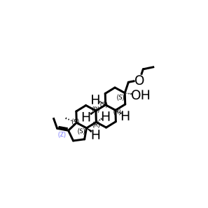 C/C=C1/CC[C@H]2[C@@H]3CC[C@@H]4C[C@](O)(COCC)CC[C@@H]4[C@H]3CC[C@]12C